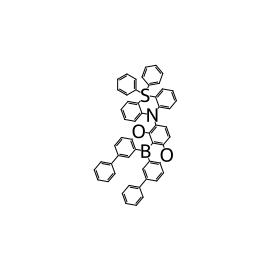 c1ccc(-c2ccc3c(c2)B2c4cc(-c5ccccc5)ccc4Oc4c(N5c6ccccc6S(c6ccccc6)(c6ccccc6)c6ccccc65)ccc(c42)O3)cc1